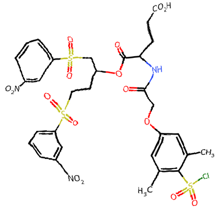 Cc1cc(OCC(=O)NC(CCC(=O)O)C(=O)OC(CCS(=O)(=O)c2cccc([N+](=O)[O-])c2)CS(=O)(=O)c2cccc([N+](=O)[O-])c2)cc(C)c1S(=O)(=O)Cl